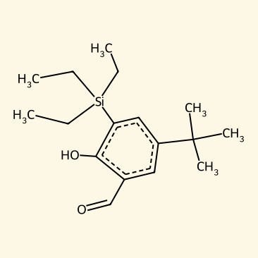 CC[Si](CC)(CC)c1cc(C(C)(C)C)cc(C=O)c1O